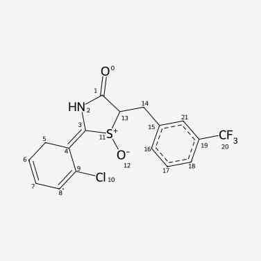 O=C1NC(=C2CC=C[C]=C2Cl)[S+]([O-])C1Cc1cccc(C(F)(F)F)c1